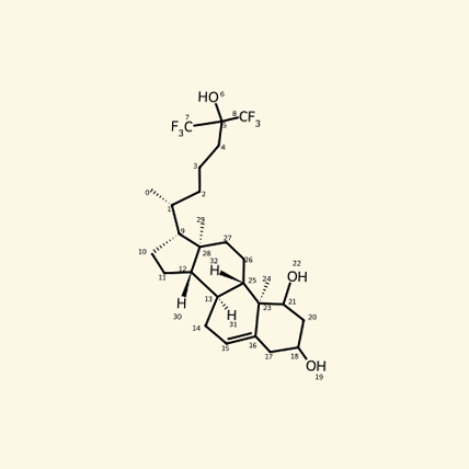 C[C@H](CCCC(O)(C(F)(F)F)C(F)(F)F)[C@H]1CC[C@H]2[C@@H]3CC=C4CC(O)CC(O)[C@]4(C)[C@H]3CC[C@]12C